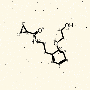 O=C(NCCc1ccccc1OCCO)C1CC1